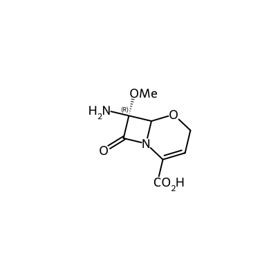 CO[C@@]1(N)C(=O)N2C(C(=O)O)=CCOC21